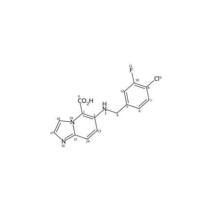 O=C(O)c1c(NCc2ccc(Cl)c(F)c2)ccc2nccn12